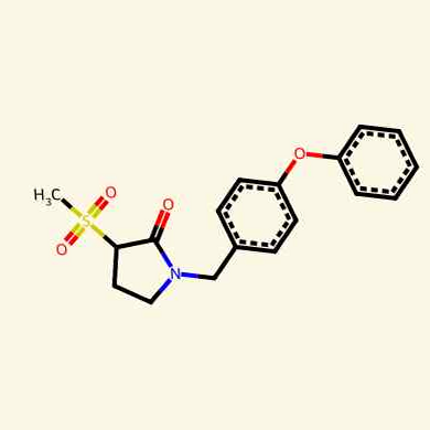 CS(=O)(=O)C1CCN(Cc2ccc(Oc3ccccc3)cc2)C1=O